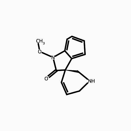 CON1C(=O)[C@@]2(C=CCNC2)c2ccccc21